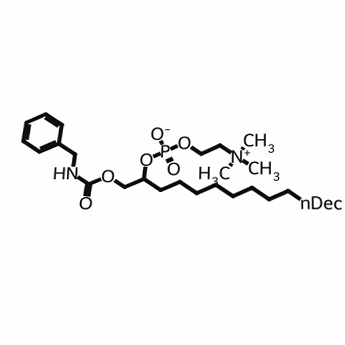 CCCCCCCCCCCCCCCCCCC(COC(=O)NCc1ccccc1)OP(=O)([O-])OCC[N+](C)(C)C